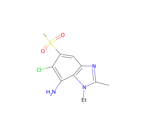 CCn1c(C)nc2cc(S(C)(=O)=O)c(Cl)c(N)c21